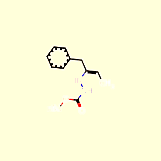 CC=C(Cc1ccccc1)NNC(=O)OCCCC